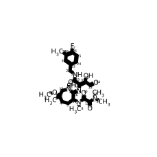 COC1(C)CCC(N(C)C(=O)C(=O)N(C)C)/C(=N/C(C(=O)NCc2ccc(F)c(C)c2)=C(/O)C=O)N(C)C1